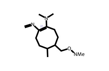 C=N/C1=C(\N(C)C)CCC(CONC)C(C)CC1